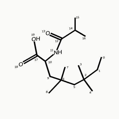 CCC(C)(C)CC(C)(C)CC(NC(=O)C(C)C)C(=O)O